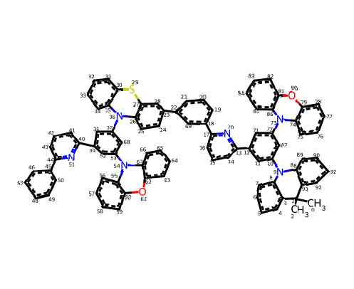 CC1(C)c2ccccc2N(c2cc(-c3cccc(-c4cccc(-c5ccc6c(c5)Sc5ccccc5N6c5cc(-c6cccc(-c7ccccc7)n6)cc(N6c7ccccc7Oc7ccccc76)c5)c4)n3)cc(N3c4ccccc4Oc4ccccc43)c2)c2ccccc21